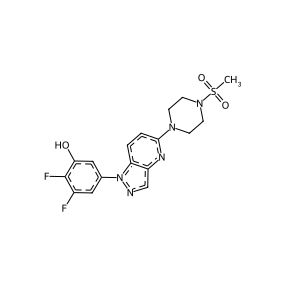 CS(=O)(=O)N1CCN(c2ccc3c(cnn3-c3cc(O)c(F)c(F)c3)n2)CC1